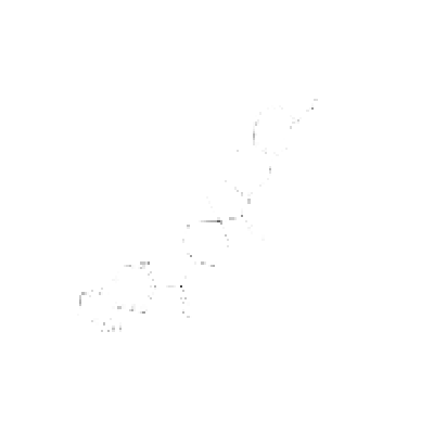 O=C(c1ccc2cc[nH]c2c1)N1CCC2(CC1)CCN(Cc1cc(F)ccc1F)C2=O